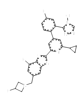 Cn1cnnc1-c1cc(F)ccc1-c1cc(-c2nc3cc(CN4CC(F)C4)cc(F)c3o2)nc(C2CC2)c1